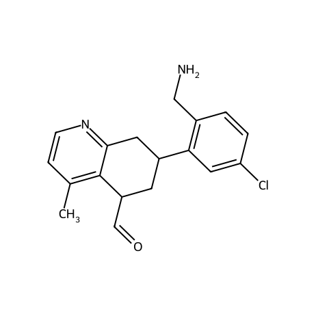 Cc1ccnc2c1C(C=O)CC(c1cc(Cl)ccc1CN)C2